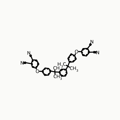 CC(C)(c1ccc(Oc2ccc(C#N)c(C#N)c2)cc1)c1cccc(C(C)(C)c2ccc(Oc3ccc(C#N)c(C#N)c3)cc2)c1